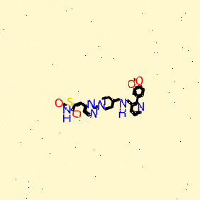 O=C1NC(=O)/C(=C\c2ccnc(N3CCC(CNCc4cccnc4-c4ccc5c(c4)OCO5)CC3)n2)S1